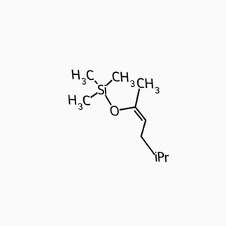 CC(=CCC(C)C)O[Si](C)(C)C